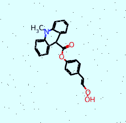 CN1c2ccccc2C(C(=O)Oc2ccc(C=COO)cc2)c2ccccc21